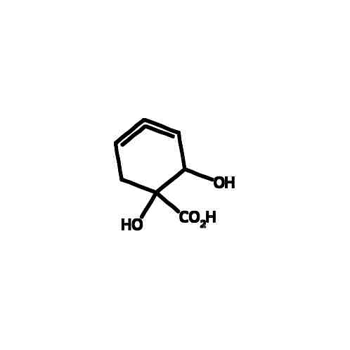 O=C(O)C1(O)CC=C=CC1O